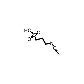 O=S(=O)(O)CCCN=C=S